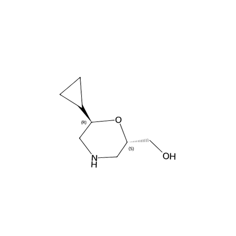 OC[C@@H]1CNC[C@@H](C2CC2)O1